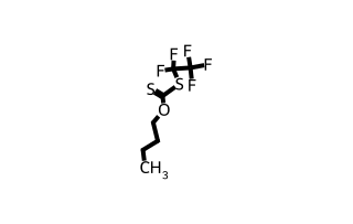 CCCCOC(=S)SC(F)(F)C(F)(F)F